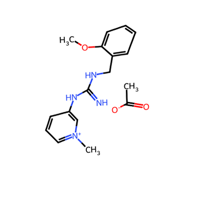 CC(=O)[O-].COc1ccccc1CNC(=N)Nc1ccc[n+](C)c1